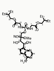 CCC(CC)COC(=O)CNP(=O)(NCC(=O)OCC(CC)CC)OCC(C#N)(OC)[C@@H](O)[C@@H](O)c1ccc2c(N)ncnn12